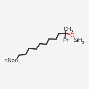 CCCCCCCCCCCCCCCCCCC(C)(CC)O[SiH3]